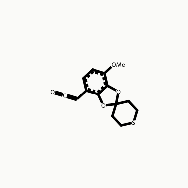 COc1ccc(C=C=O)c2c1OC1(CCSCC1)O2